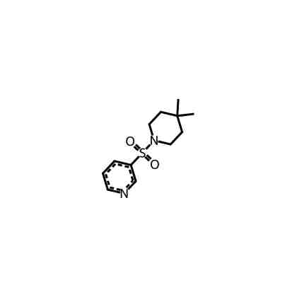 CC1(C)CCN(S(=O)(=O)c2cccnc2)CC1